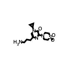 NCCCc1cn(C2CC2)c(=O)c(N2CCS(=O)(=O)CC2)n1